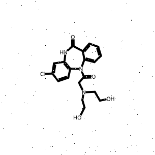 O=C1Nc2cc(Cl)ccc2N(C(=O)CN(CCO)CCO)c2ccccc21